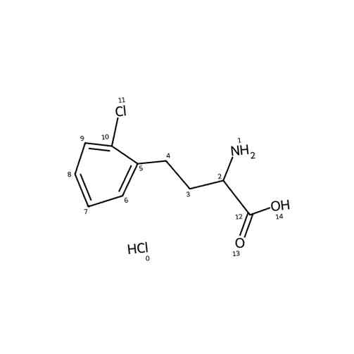 Cl.NC(CCc1ccccc1Cl)C(=O)O